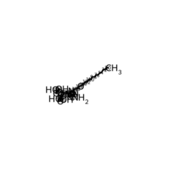 CCCCCCCCCCCCCCCCOCCCc1nc(N)c2ncn(C[C@@H](COP(=O)(O)O)OCP(=O)(O)O)c2n1